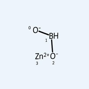 [O-]B[O-].[Zn+2]